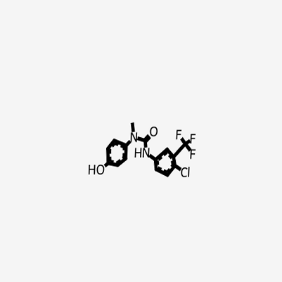 CN(C(=O)Nc1ccc(Cl)c(C(F)(F)F)c1)c1ccc(O)cc1